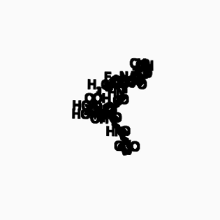 CC[C@@]1(O)C(=O)OCc2c1cc1n(c2=O)Cc2c-1nc1cc(F)c(OC)cc1c2CNC(=O)OCc1ccc(O[C@@H]2O[C@H](C(=O)O)[C@@H](O)[C@H](O)[C@H]2O)c(NC(=O)CCNC(=O)CCN2C(=O)C=CC2=O)c1